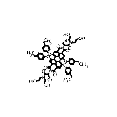 CCc1ccc(Oc2cc3c4c(cc(Oc5ccc(CC)cc5)c5c6c(Oc7ccc(CC)cc7)cc7c8c(cc(Oc9ccc(CC)cc9)c(c2c45)c86)C(=O)N(C(CS)C(=O)N(CCO)CCO)C7=O)C(=O)N(C(CS)C(=O)N(CCO)CCO)C3=O)cc1